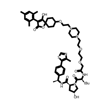 Cc1cc(C)c(C2=C(O)C3(CCC(OCCN4CCN(CCOCCOCC(=O)N[C@H](C(=O)N5C[C@H](O)C[C@H]5C(=O)N[C@@H](C)c5ccc(-c6scnc6C)cc5)C(C)(C)C)CC4)CC3)OC2=O)c(C)c1